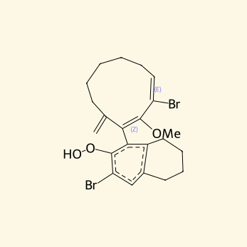 C=C1CCCCC/C=C(Br)\C(OC)=C/1c1c2c(cc(Br)c1OO)CCCC2